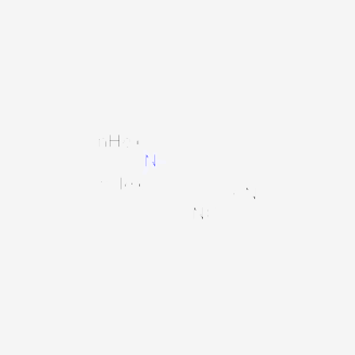 CCCCCCN(C=CC=C(C#N)C#N)CCCCCC